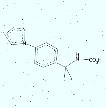 O=C(O)NC1(c2ccc(-n3cccn3)cc2)CC1